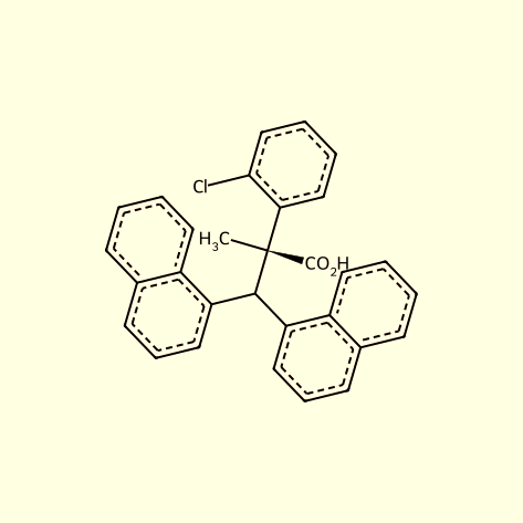 C[C@](C(=O)O)(c1ccccc1Cl)C(c1cccc2ccccc12)c1cccc2ccccc12